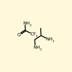 CC(N)CN.NC(=O)C(F)(F)F